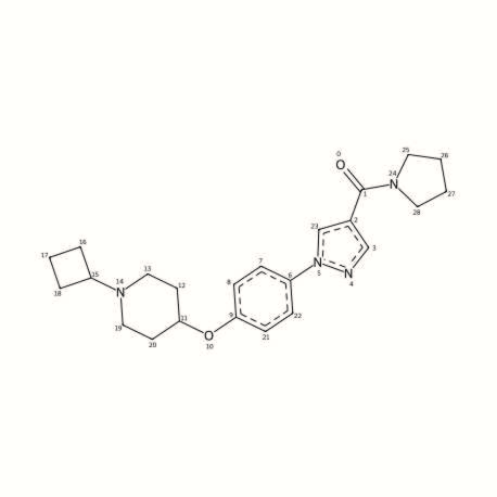 O=C(c1cnn(-c2ccc(OC3CCN(C4CCC4)CC3)cc2)c1)N1CCCC1